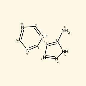 Nc1nnn[nH]1.c1ncncn1